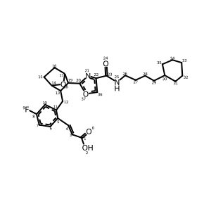 O=C(O)/C=C/c1ccc(F)cc1CC1C2CCC(O2)C1c1nc(C(=O)NCCCCC2CCCCC2)co1